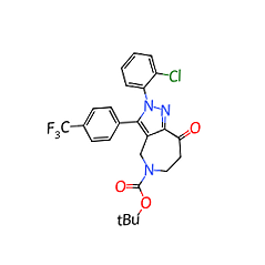 CC(C)(C)OC(=O)N1CCC(=O)c2nn(-c3ccccc3Cl)c(-c3ccc(C(F)(F)F)cc3)c2C1